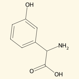 NC(C(=O)O)c1cccc(O)c1